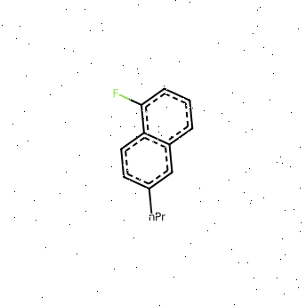 CCCc1ccc2c(F)[c]ccc2c1